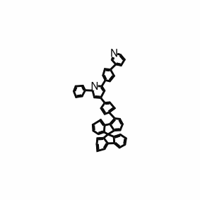 c1ccc(-c2cc(-c3ccc(-c4cccc5c4-c4ccccc4C54c5ccccc5-c5ccccc54)cc3)cc(-c3ccc(-c4cccnc4)cc3)n2)cc1